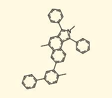 Cc1ccc(-c2ccccc2)cc1-c1ccc2c(c1)c(C)cc1c(-c3ccccc3)n(C)c(-c3ccccc3)c12